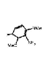 CNC1=C(N)C(OC)[C@@H](I)C=C1